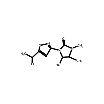 CC(C)c1cc(N2C(=O)N(C)C(C)C2O)no1